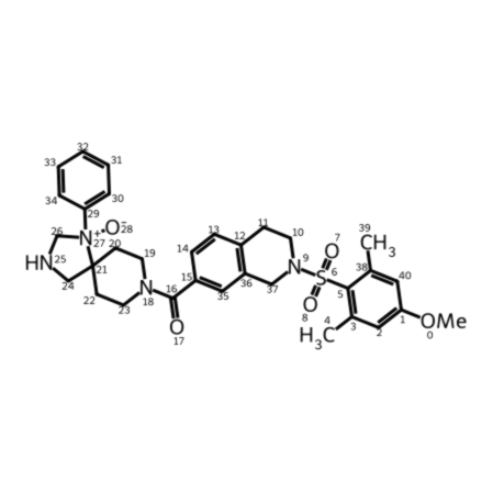 COc1cc(C)c(S(=O)(=O)N2CCc3ccc(C(=O)N4CCC5(CC4)CNC[N+]5([O-])c4ccccc4)cc3C2)c(C)c1